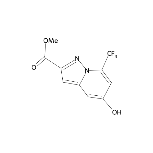 COC(=O)c1cc2cc(O)cc(C(F)(F)F)n2n1